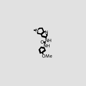 COc1cccc(NC(=O)Nc2cnc3c(c2)CN(C)CC3)c1